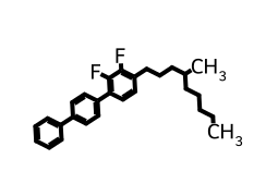 CCCCCC(C)CCCc1ccc(-c2ccc(-c3ccccc3)cc2)c(F)c1F